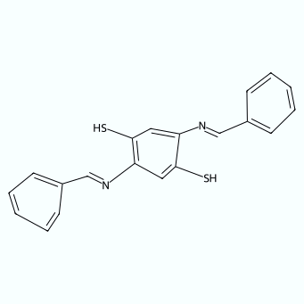 Sc1cc(/N=C/c2ccccc2)c(S)cc1/N=C/c1ccccc1